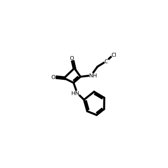 O=c1c(NCCCl)c(Nc2ccccc2)c1=O